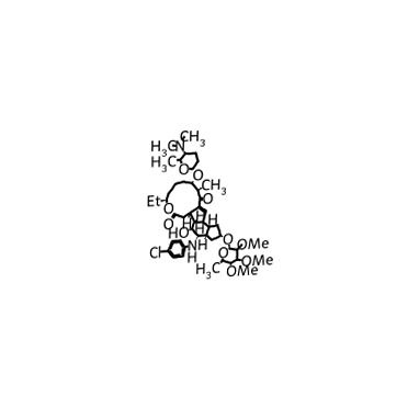 CC[C@H]1CCC[C@H](O[C@H]2CC[C@H](N(C)C)C(C)O2)[C@@H](C)C(=O)C2=C[C@H]3[C@@H]4C[C@H](O[C@@H]5OC(C)[C@H](OC)C(OC)C5OC)C[C@H]4[C@H](Nc4ccc(Cl)cc4)[C@@H](O)[C@H]3[C@@H]2CC(=O)O1